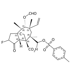 C=C[C@]1(C)C[C@@H](C(OS(=O)(=O)c2ccc(C)cc2)C(=O)O)[C@@]2(C)[C@H](C)CC[C@]3(CC(F)C(=O)[C@H]32)[C@@H](C)[C@@H]1OC=O